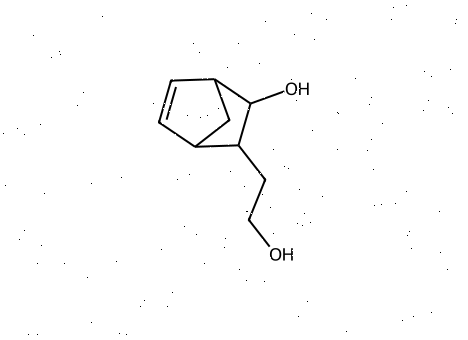 OCCC1C2C=CC(C2)C1O